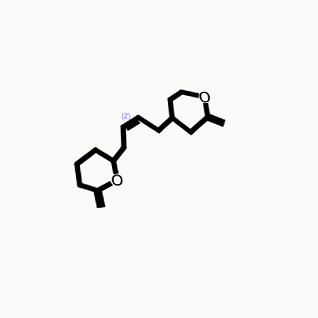 C=C1CC(C/C=C\CC2CCCC(=C)O2)CCO1